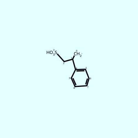 [CH2]C(CS(=O)(=O)O)c1ccccc1